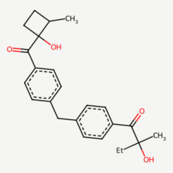 CCC(C)(O)C(=O)c1ccc(Cc2ccc(C(=O)C3(O)CCC3C)cc2)cc1